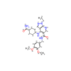 CCn1ncc2c(NC3CCC(C(N)=O)CC3)c(C(=O)NCc3ccc(OC)c(OC)c3)cnc21